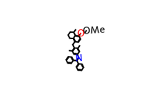 COCOc1ccc(Cc2c(C)cc(N=C(c3ccccc3)c3ccccc3)cc2C)c2c1C(C)CCC2